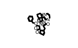 O=C(CCc1ccccc1)NC1=C(C2(CC(=O)NC3CC(=O)OC3OCc3ccccc3)CCCCC2=O)NC=CC=N1